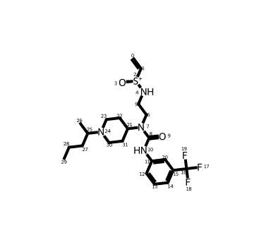 C=C[S+]([O-])NCCN(C(=O)Nc1cccc(C(F)(F)F)c1)C1CCN(C(C)CCC)CC1